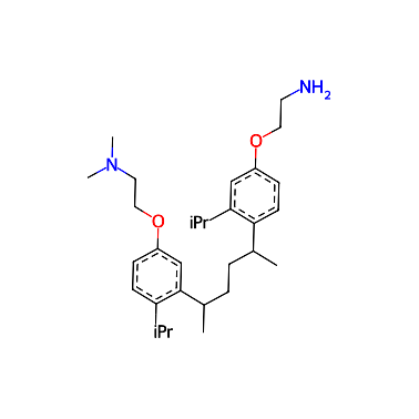 CC(C)c1cc(OCCN)ccc1C(C)CCC(C)c1cc(OCCN(C)C)ccc1C(C)C